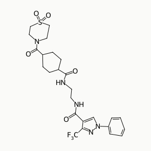 O=C(NCCNC(=O)C1CCC(C(=O)N2CCS(=O)(=O)CC2)CC1)c1cn(-c2ccccc2)nc1C(F)(F)F